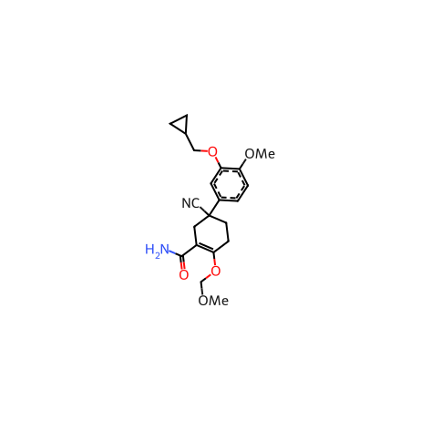 COCOC1=C(C(N)=O)CC(C#N)(c2ccc(OC)c(OCC3CC3)c2)CC1